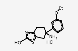 CCOc1cccc(C2(N)CCc3nc(O)sc3C2)c1.Cl